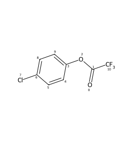 O=C(Oc1ccc(Cl)cc1)C(F)(F)F